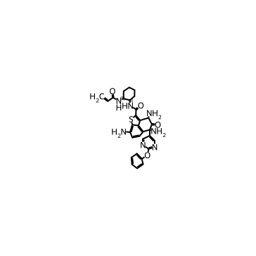 C=CC(=O)N[C@@H]1CCCC[C@H]1NC(=O)c1sc2c(N)ccc3c2c1C(N)C(=O)C3(N)c1cnc(Oc2ccccc2)nc1